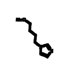 COCCCCn1c[c]nc1